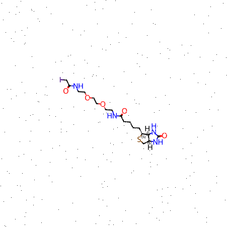 O=C(CI)NCCOCCOCCNC(=O)CCCC[C@@H]1SC[C@@H]2NC(=O)N[C@@H]21